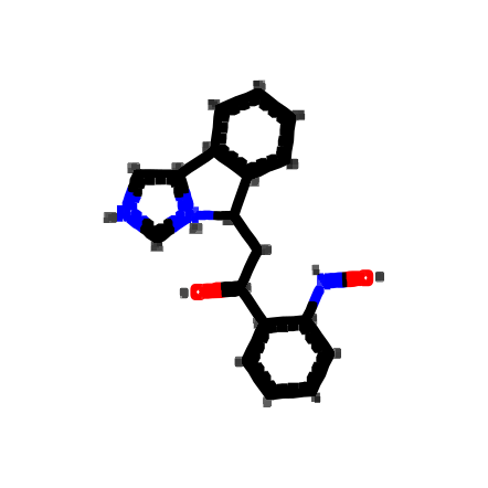 O=Nc1ccccc1C(=O)CC1c2ccccc2-c2cncn21